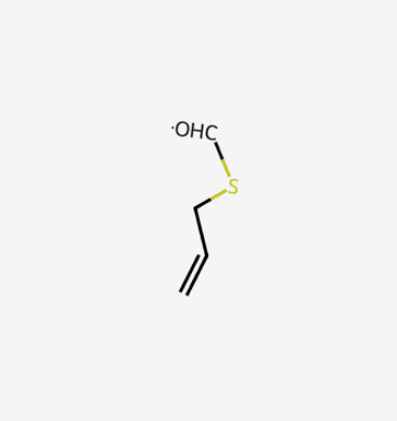 C=CCS[C]=O